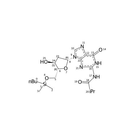 CCCC[Si](C)(C)OC[C@H]1O[C@@H](n2cnc3c(=O)[nH]c(NC(=O)C(C)C)nc32)C[C@@H]1O